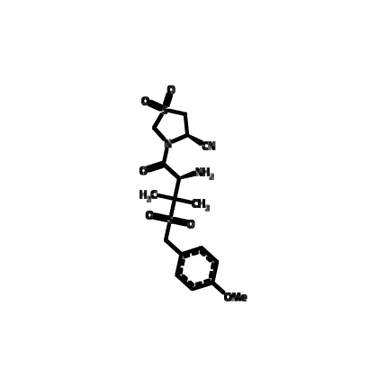 COc1ccc(CS(=O)(=O)C(C)(C)[C@H](N)C(=O)N2CS(=O)(=O)C[C@H]2C#N)cc1